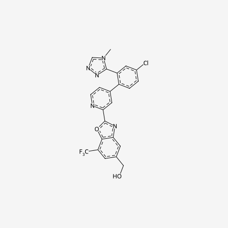 Cn1cnnc1-c1cc(Cl)ccc1-c1ccnc(-c2nc3cc(CO)cc(C(F)(F)F)c3o2)c1